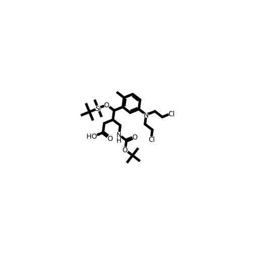 Cc1ccc(N(CCCl)CCCl)cc1C(O[Si](C)(C)C(C)(C)C)C(CNC(=O)OC(C)(C)C)CC(=O)O